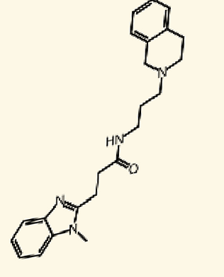 Cn1c(CCC(=O)NCCCN2CCc3ccccc3C2)nc2ccccc21